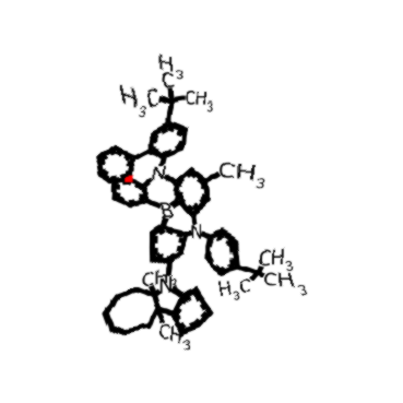 Cc1cc2c3c(c1)N(c1ccc(C(C)(C)C)cc1-c1ccccc1)c1ccccc1B3c1ccc(N3c4ccccc4C4(C)CCCCCCC34C)cc1N2c1ccc(C(C)(C)C)cc1